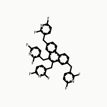 Fc1ccc(Cc2ccc3c(c2)c(Cc2ccc(F)nc2F)c(Cc2ccc(F)nc2F)c2cc(Cc4ccc(F)nc4F)ccc23)c(F)n1